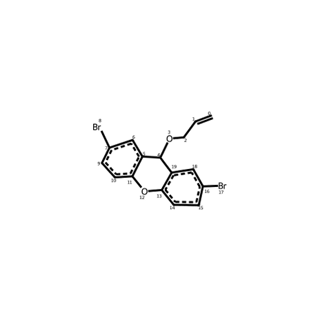 C=CCOC1c2cc(Br)ccc2Oc2ccc(Br)cc21